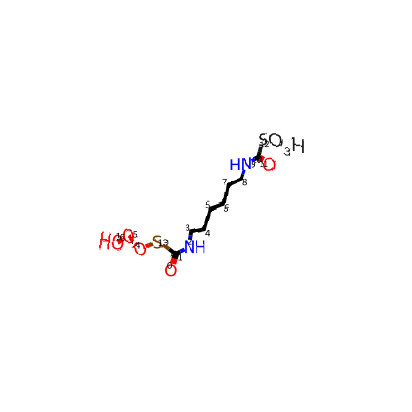 O=C(NCCCCCCNC(=O)S(=O)(=O)O)SOOO